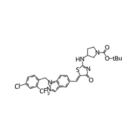 CC(C)(C)OC(=O)N1CCC(NC2=NC(=O)/C(=C/c3ccc4c(cnn4Cc4ccc(Cl)cc4C(F)(F)F)c3)S2)C1